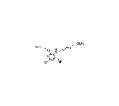 COCCOC/C=C/CNc1c(C=N)nc(Cl)nc1OCCOC